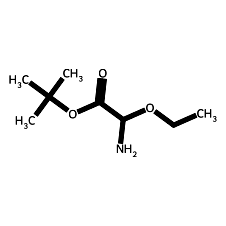 CCOC(N)C(=O)OC(C)(C)C